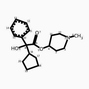 CN1CCC(OC(=O)C(O)(c2ccccc2)C2CCCC2)CC1